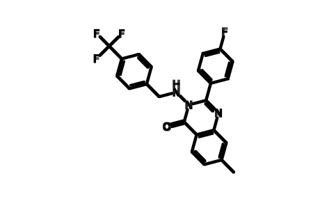 Cc1ccc2c(=O)n(NCc3ccc(C(F)(F)F)cc3)c(-c3ccc(F)cc3)nc2c1